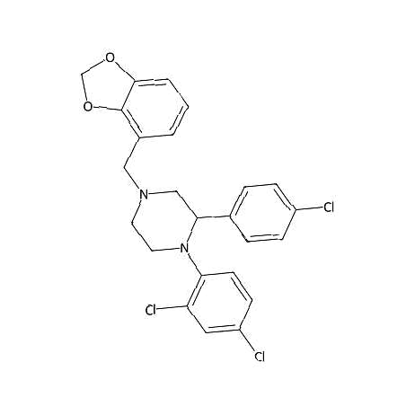 Clc1ccc(C2CN(Cc3cccc4c3OCO4)CCN2c2ccc(Cl)cc2Cl)cc1